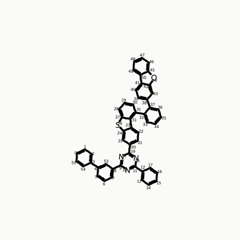 c1ccc(-c2cccc(-c3nc(-c4ccccc4)nc(-c4ccc5c(c4)sc4cccc(-c6ccccc6-c6ccc7c(c6)oc6ccccc67)c45)n3)c2)cc1